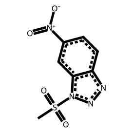 CS(=O)(=O)n1nnc2ccc([N+](=O)[O-])cc21